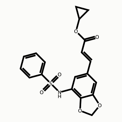 O=C(/C=C/c1cc(NS(=O)(=O)c2ccccc2)c2c(c1)OCO2)OC1CC1